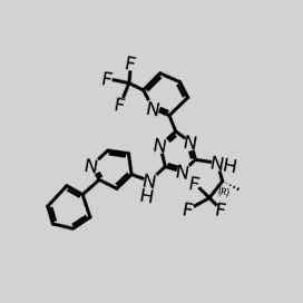 C[C@@H](Nc1nc(Nc2ccnc(-c3ccccc3)c2)nc(-c2cccc(C(F)(F)F)n2)n1)C(F)(F)F